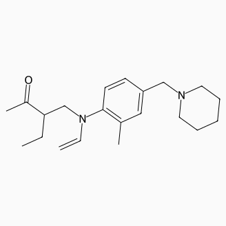 C=CN(CC(CC)C(C)=O)c1ccc(CN2CCCCC2)cc1C